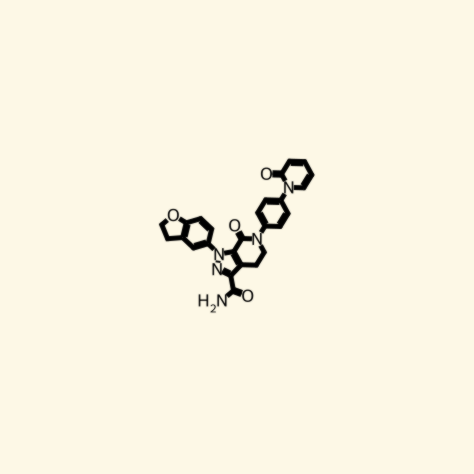 NC(=O)c1nn(-c2ccc3c(c2)CCO3)c2c1CCN(c1ccc(-n3ccccc3=O)cc1)C2=O